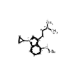 CCCCOc1cccc2c1c(CCN(C)C)cn2C1CC1